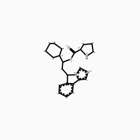 O=C(OC(CC1c2ccccc2-c2cncn21)C1CCCCC1)C1CCCN1